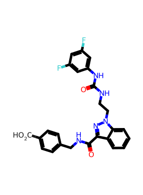 O=C(NCCn1nc(C(=O)NCc2ccc(C(=O)O)cc2)c2ccccc21)Nc1cc(F)cc(F)c1